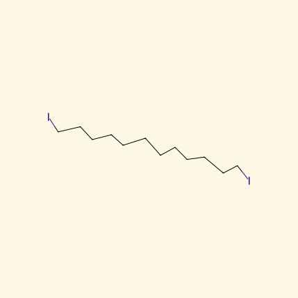 ICCCCCCCCCCCCI